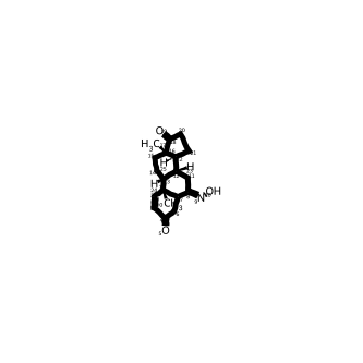 C[C@]12C=CC(=O)CC1C(=NO)C[C@@H]1[C@H]2CC[C@]2(C)C(=O)CC[C@@H]12